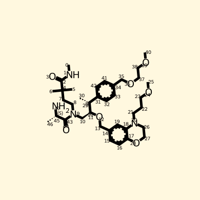 CNC(=O)C(C)(C)CCN(C[C@H](OCc1ccc2c(c1)N(CCCOC)CCO2)[C@H](C)c1ccc(COCCOC)cc1)C(=O)[C@H](C)N